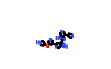 c1cc(-c2cncc3[nH]c(-c4n[nH]c5cnc(-c6cncc(OC7CCNCC7)c6)cc45)nc23)ccn1